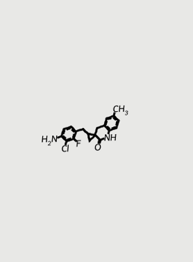 Cc1ccc2c(c1)CC1(CC1Cc1ccc(N)c(Cl)c1F)C(=O)N2